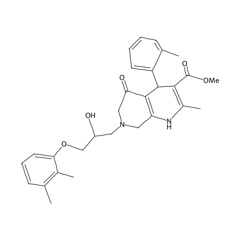 COC(=O)C1=C(C)NC2=C(C(=O)CN(CC(O)COc3cccc(C)c3C)C2)C1c1ccccc1C